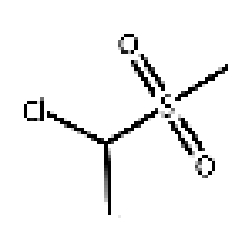 [CH2]C(Cl)S(C)(=O)=O